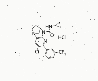 Cl.O=C(NC1CC1)N1c2nc(-c3cccc(C(F)(F)F)c3)c(Cl)cc2N2CCC1C2